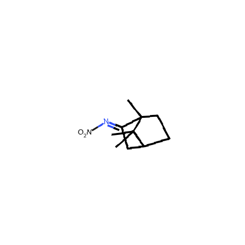 CC12CCC(C/C1=N\[N+](=O)[O-])C2(C)C